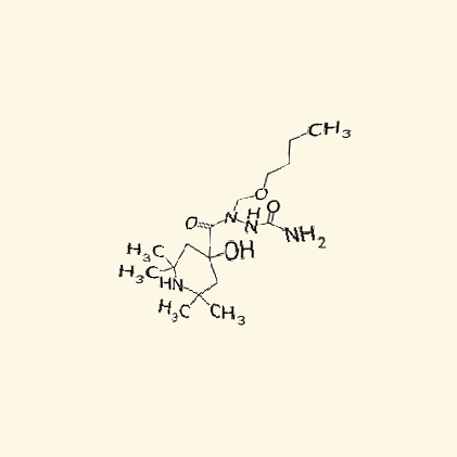 CCCCOCN(NC(N)=O)C(=O)C1(O)CC(C)(C)NC(C)(C)C1